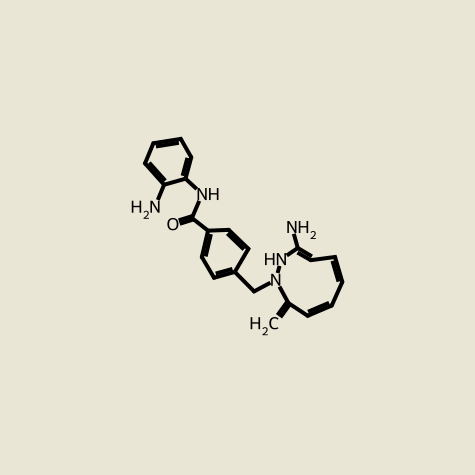 C=C1\C=C/C=C\C=C(/N)NN1Cc1ccc(C(=O)Nc2ccccc2N)cc1